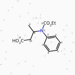 CCOC(=O)N(c1ccccc1)C(C)CC(=O)O